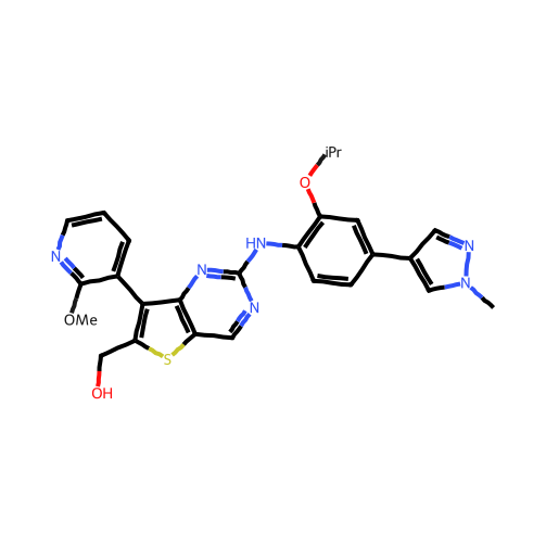 COc1ncccc1-c1c(CO)sc2cnc(Nc3ccc(-c4cnn(C)c4)cc3OC(C)C)nc12